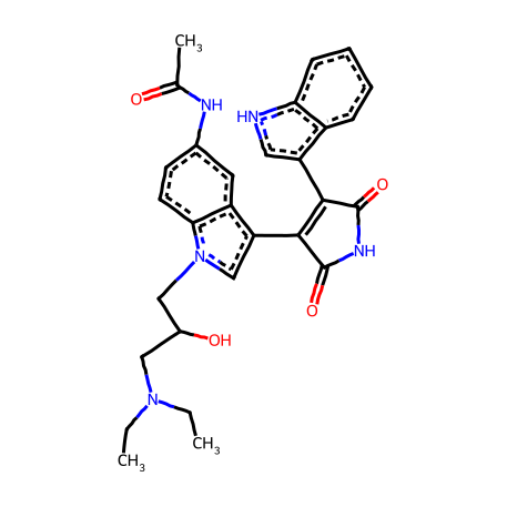 CCN(CC)CC(O)Cn1cc(C2=C(c3c[nH]c4ccccc34)C(=O)NC2=O)c2cc(NC(C)=O)ccc21